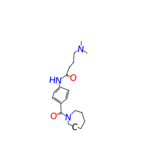 CN(C)CCCC(=O)Nc1ccc(C(=O)N2CCCCCC2)cc1